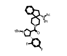 CC(=O)N(C(C)C)[C@@H]1Cc2ccccc2C12CCN(C(=O)C1CN(C(C)(C)C)C[C@H]1c1ccc(F)cc1F)CC2